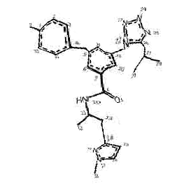 Cc1ccc(-c2cc(C(=O)NC(C)Cc3ccn(C)n3)cc(-n3nnnc3C(C)C)c2)cc1